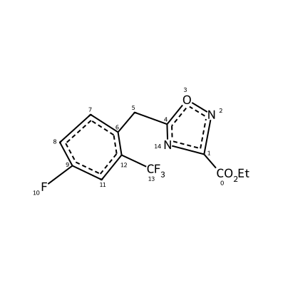 CCOC(=O)c1noc(Cc2ccc(F)cc2C(F)(F)F)n1